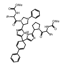 COC(=O)NC(C(=O)N1CCCC1c1ncc(C2(c3cnc(C4CN(c5ccccc5)CN4C(=O)C(NC(=O)OC)C(C)C)[nH]3)C=CC(c3ccccc3)=CC2)[nH]1)C(C)C